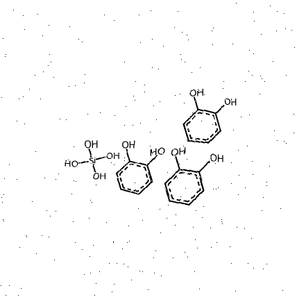 O[Si](O)(O)O.Oc1ccccc1O.Oc1ccccc1O.Oc1ccccc1O